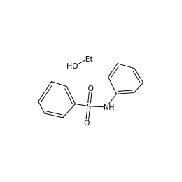 CCO.O=S(=O)(Nc1ccccc1)c1ccccc1